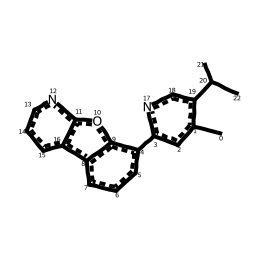 Cc1cc(-c2cccc3c2oc2ncccc23)ncc1C(C)C